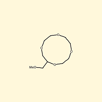 COCC1COCCOCCOCCO1